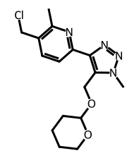 Cc1nc(-c2nnn(C)c2COC2CCCCO2)ccc1CCl